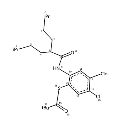 CC(C)CCC(CCC(C)C)C(=O)Nc1cc(Cl)c(Cl)cc1SC(=O)C(C)(C)C